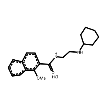 COc1c(C(=O)NCCNC2CCCCC2)ccc2ccccc12.Cl